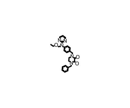 CCOCN(c1ccc(CN2CCN(Cc3ccccc3)C(=O)C2=O)cc1)c1ncccn1